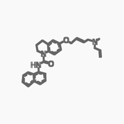 C=CCN(C)CC=CCOc1ccc2c(c1)CCCN2C(=O)Nc1cccc2ccccc12